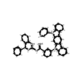 N=C(/N=c1/nc(-c2ccccc2)c2ccccc2[nH]1)c1cccc(-n2c3ccccc3c3cc4c5ccccc5n(-c5cccnc5)c4cc32)c1